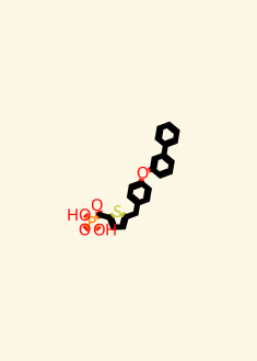 O=C(c1ccc(Cc2ccc(Oc3cccc(-c4ccccc4)c3)cc2)s1)P(=O)(O)O